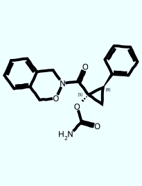 NC(=O)O[C@@]1(C(=O)N2Cc3ccccc3CO2)C[C@@H]1c1ccccc1